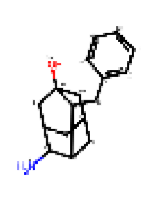 NC1C2CC3CC1C(Cc1ccccc1)C(O)(C3)C2